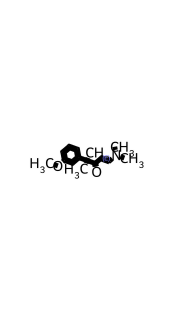 COc1cccc(C(C)(C)C(=O)/C=C/N(C)C)c1